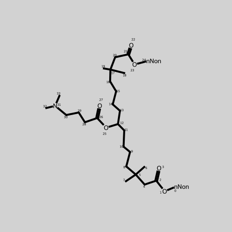 CCCCCCCCCOC(=O)CC(C)(C)CCCCC(CCCCC(C)(C)CC(=O)OCCCCCCCCC)OC(=O)CCCN(C)C